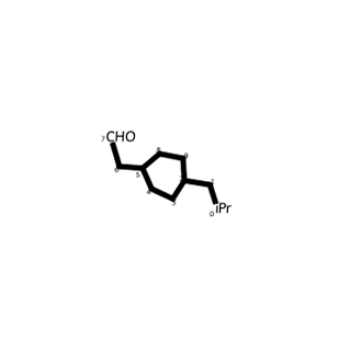 CC(C)CC1CCC(CC=O)CC1